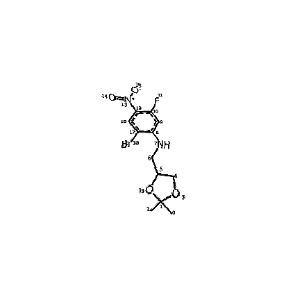 CC1(C)OCC(CNc2cc(F)c([N+](=O)[O-])cc2Br)O1